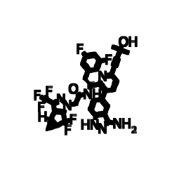 CC(C)(O)C#Cc1ccc(-c2ccc3[nH]nc(N)c3c2)c([C@H](Cc2cc(F)cc(F)c2)NC(=O)Cn2nc(C(F)(F)F)c3c2C(F)(F)C2C[C@H]32)n1